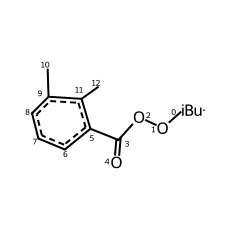 CC[C](C)OOC(=O)c1cccc(C)c1C